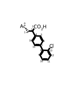 CC(=O)SC(C(=O)O)c1ccc(-c2ccccc2Cl)cc1